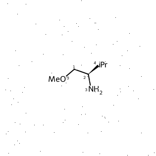 COC[C@H](N)C(C)C